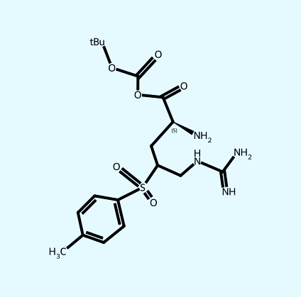 Cc1ccc(S(=O)(=O)C(CNC(=N)N)C[C@H](N)C(=O)OC(=O)OC(C)(C)C)cc1